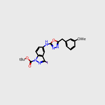 COc1cccc(Cc2nnc(Nc3ccc4c(c3)c(I)nn4C(=O)OC(C)(C)C)o2)c1